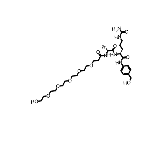 CC(C)[C@H](NC(=O)CCOCCOCCOCCOCCOCCO)C(=O)N[C@@H](CCCNC(N)=O)C(=O)Nc1ccc(CO)cc1